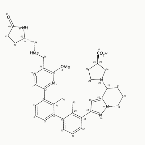 COc1nc(-c2cccc(-c3cccc(-c4cc5n(n4)CCCC5N4CC[C@@H](C(=O)O)C4)c3C)c2C)cnc1CNC[C@@H]1CCC(=O)N1